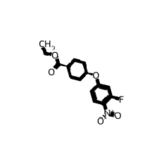 CCOC(=O)[C@H]1CC[C@@H](Oc2ccc([N+](=O)[O-])c(F)c2)CC1